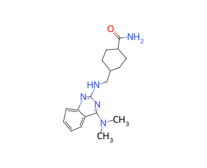 CN(C)c1nc(NCC2CCC(C(N)=O)CC2)nc2ccccc12